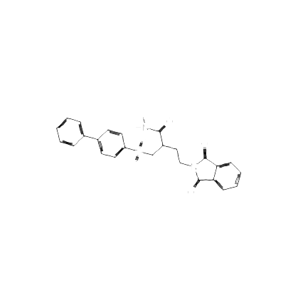 O=C(NO)C(CCN1C(=O)c2ccccc2C1=O)CS(=O)(=O)c1ccc(-c2ccccc2)cc1